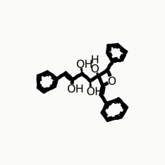 OC(=Cc1ccccc1)[C@@H](O)[C@H](O)[C@@]1(O)C(=Cc2ccccc2)OC1c1ccccc1